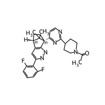 CC(=O)N1CCC(c2nccc([C@]34CC[C@@H](c5cc(-c6c(F)cccc6F)nnc53)C4(C)C)n2)CC1